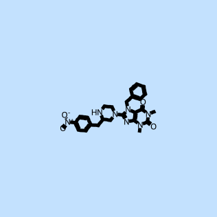 Cn1c(=O)c2c(nc(N3CCNC(Cc4ccc([N+](=O)[O-])cc4)C3)n2Cc2ccccc2)n(C)c1=O